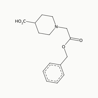 O=C(CN1CCC(C(=O)O)CC1)OCc1ccccc1